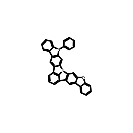 c1ccc(-n2c3ccccc3c3cc4c5cccc6c7cc8c(cc7n(c4cc32)c65)oc2ccccc28)cc1